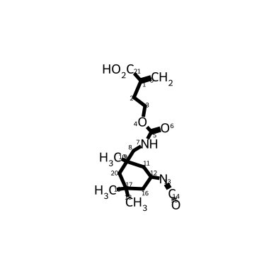 C=C(CCOC(=O)NCC1(C)CC(N=C=O)CC(C)(C)C1)C(=O)O